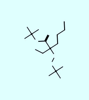 CCCCC(CC)(OOC(C)(C)C)C(=O)OC(C)(C)C